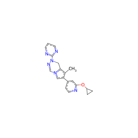 Cc1c(-c2ccnc(OC3CC3)c2)cn2c1CN(c1ncccn1)N=C2